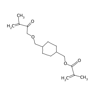 C=C(C)C(=O)COCC1CCC(COC(=O)C(=C)C)CC1